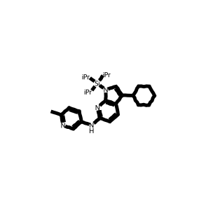 Cc1ccc(Nc2ccc3c(C4CCCCC4)cn([Si](C(C)C)(C(C)C)C(C)C)c3n2)cn1